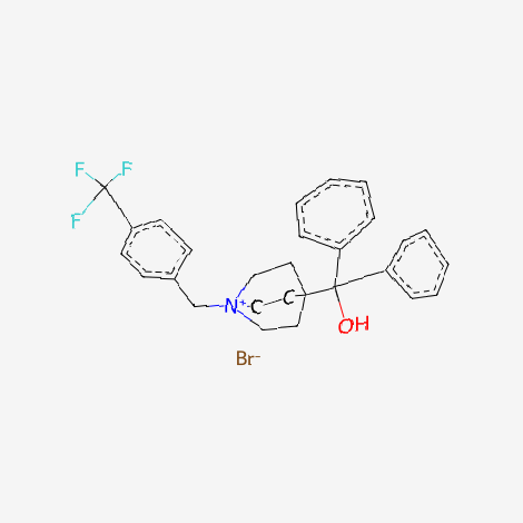 OC(c1ccccc1)(c1ccccc1)C12CC[N+](Cc3ccc(C(F)(F)F)cc3)(CC1)CC2.[Br-]